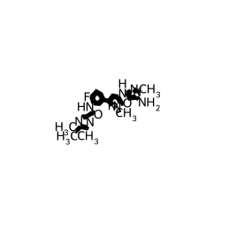 Cn1nc(Nc2cc(-c3ccc(F)c(NC(=O)c4cnc(C(C)(C)C)cn4)c3)nn(C)c2=O)cc1N